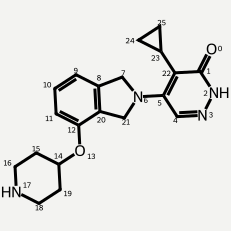 O=c1[nH]ncc(N2Cc3cccc(OC4CCNCC4)c3C2)c1C1CC1